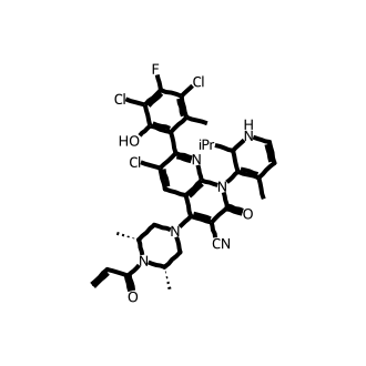 C=CC(=O)N1[C@H](C)CN(c2c(C#N)c(=O)n(C3=C(C)C=CNC3C(C)C)c3nc(-c4c(C)c(Cl)c(F)c(Cl)c4O)c(Cl)cc23)C[C@@H]1C